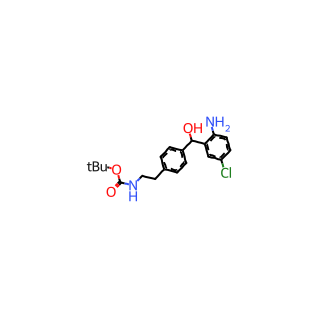 CC(C)(C)OC(=O)NCCc1ccc(C(O)c2cc(Cl)ccc2N)cc1